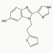 Oc1ccc2nc(-c3c[nH]cn3)n(CCc3cccs3)c2c1